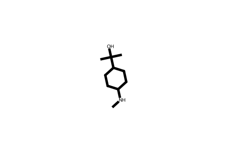 CNC1CCC(C(C)(C)O)CC1